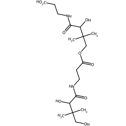 CC(C)(CO)C(O)C(=O)NCCC(=O)OCC(C)(C)C(O)C(=O)NCCC(=O)O